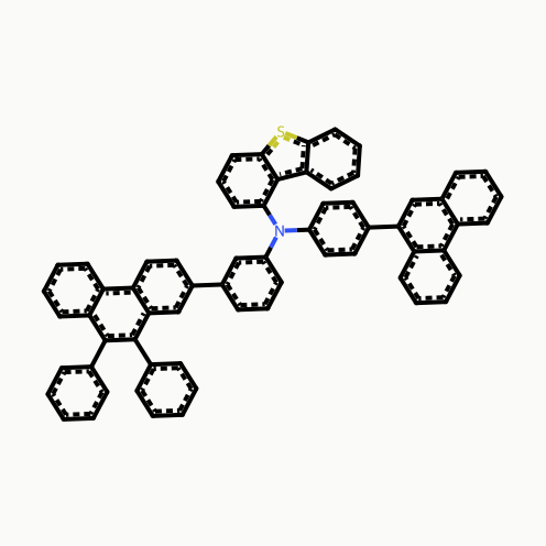 c1ccc(-c2c(-c3ccccc3)c3cc(-c4cccc(N(c5ccc(-c6cc7ccccc7c7ccccc67)cc5)c5cccc6sc7ccccc7c56)c4)ccc3c3ccccc23)cc1